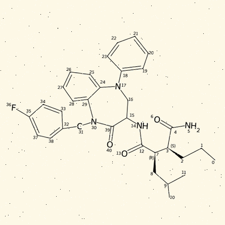 CCC[C@H](C(N)=O)[C@@H](CC(C)C)C(=O)NC1CN(c2ccccc2)c2ccccc2N(Cc2ccc(F)cc2)C1=O